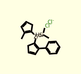 CC1=[C]([Zr+2]([C]2=C(c3ccccc3)C=CC2)[SiH](C)C)CC=C1.[Cl-].[Cl-]